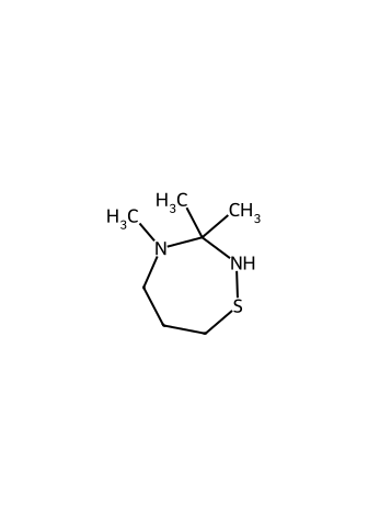 CN1CCCSNC1(C)C